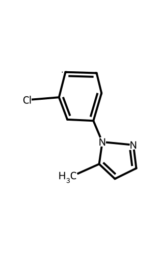 Cc1ccnn1-c1cc[c]c(Cl)c1